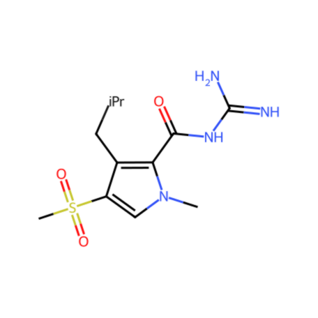 CC(C)Cc1c(S(C)(=O)=O)cn(C)c1C(=O)NC(=N)N